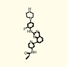 C=CC(=O)Nc1ccnc(-c2cccc3cnc(Nc4ccc(N5CCNCC5)cc4F)nc23)c1